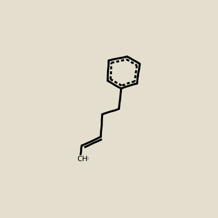 [CH]/C=C/CCc1ccccc1